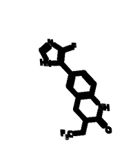 O=C1Nc2ccc(-c3[nH]cnc3F)cc2CC1CC(F)(F)F